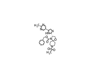 Cc1ncc(-c2cnc([C@@H]3COC4(CCN(S(C)(=O)=O)CC4)N3C(=O)OCc3ccccc3)[nH]2)cn1